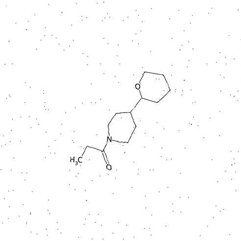 CCC(=O)N1CCC(C2CCCCO2)CC1